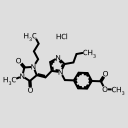 CCCCN1C(=O)N(C)C(=O)C1=Cc1cnc(CCC)n1Cc1ccc(C(=O)OC)cc1.Cl